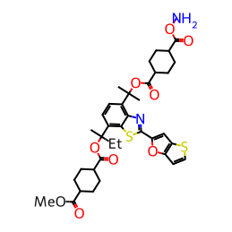 CCC(C)(OC(=O)C1CCC(C(=O)OC)CC1)c1ccc(C(C)(C)OC(=O)C2CCC(C(=O)ON)CC2)c2nc(-c3cc4sccc4o3)sc12